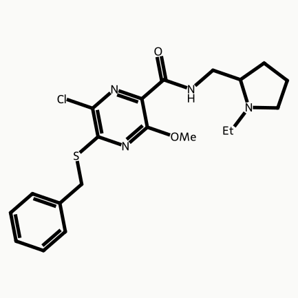 CCN1CCCC1CNC(=O)c1nc(Cl)c(SCc2ccccc2)nc1OC